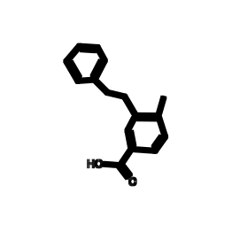 Cc1ccc(C(=O)O)cc1CCc1ccccc1